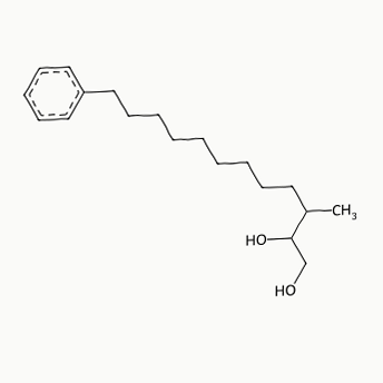 CC(CCCCCCCCCc1ccccc1)C(O)CO